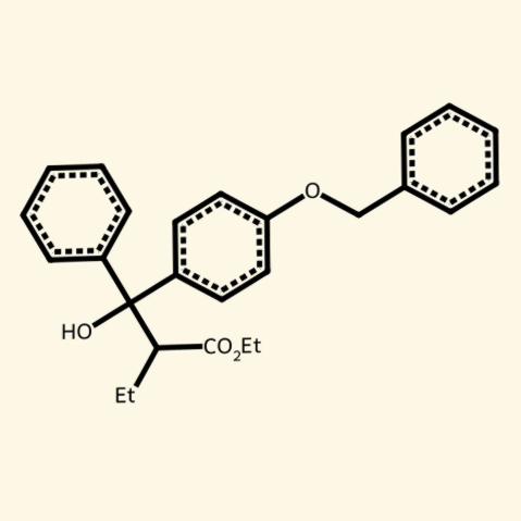 CCOC(=O)C(CC)C(O)(c1ccccc1)c1ccc(OCc2ccccc2)cc1